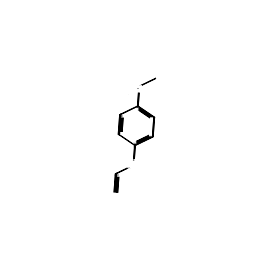 C=COc1ccc([SiH2]C)cc1